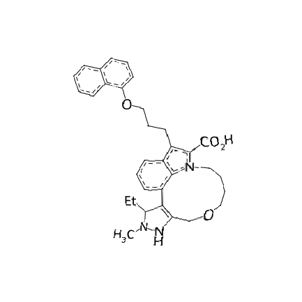 CCC1C2=C(COCCCCn3c(C(=O)O)c(CCCOc4cccc5ccccc45)c4cccc2c43)NN1C